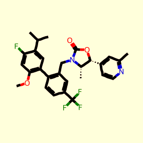 COc1cc(F)c(C(C)C)cc1-c1ccc(C(F)(F)F)cc1CN1C(=O)O[C@H](c2ccnc(C)c2)[C@@H]1C